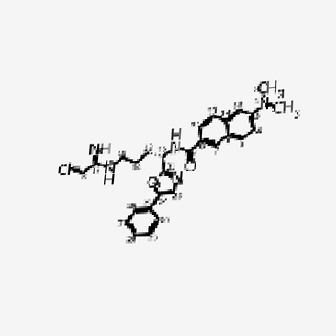 CN(C)c1ccc2cc(C(=O)N[C@@H](CCCNC(=N)CCl)c3ncc(-c4ccccc4)o3)ccc2c1